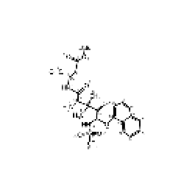 CC(C)(C)OC(=O)C[C@@H](C=O)NC(=O)[C@@H](N)C(C)(C)C(=O)C(NS(=O)(=O)C(F)(F)F)Oc1cccc2ccccc12